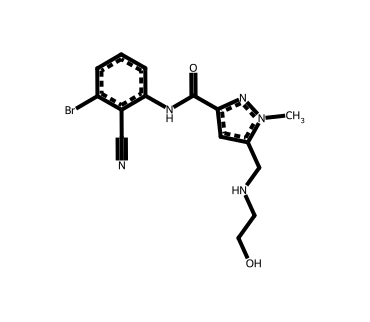 Cn1nc(C(=O)Nc2cccc(Br)c2C#N)cc1CNCCO